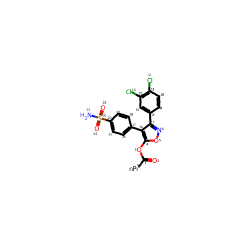 CCCC(=O)Oc1onc(-c2ccc(Cl)c(Cl)c2)c1-c1ccc(S(N)(=O)=O)cc1